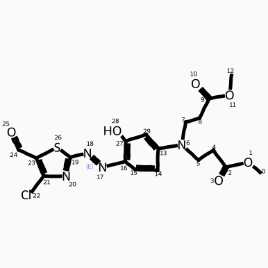 COC(=O)CCN(CCC(=O)OC)c1ccc(/N=N/c2nc(Cl)c(C=O)s2)c(O)c1